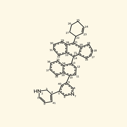 C1=CNCC(c2cncc(-c3ccc(-c4c5ccccc5c(C5C=CCCC5)c5ccccc45)c4ccccc34)c2)=C1